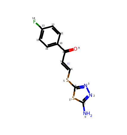 Nc1nnc(S/C=C/C(=O)c2ccc(F)cc2)s1